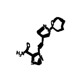 NC(=O)c1scnc1C#Cc1cnn(C2CCCCO2)c1